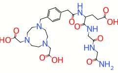 NC(=O)CNC(=O)CNC(=O)C(CCC(=O)O)NC(=O)Cc1ccc(CN2CCN(CC(=O)O)CCN(CC(=O)O)CC2)cc1